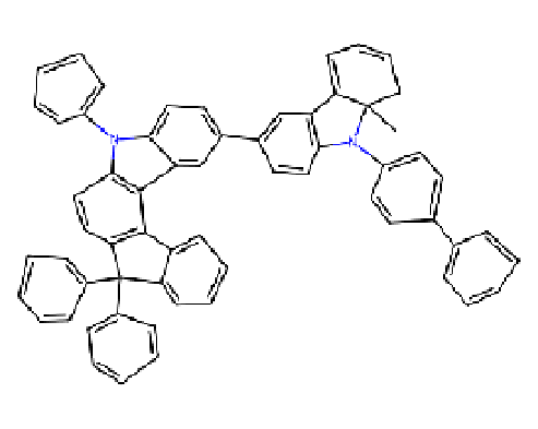 CC12CC=CC=C1c1cc(-c3ccc4c(c3)c3c5c(ccc3n4-c3ccccc3)C(c3ccccc3)(c3ccccc3)c3ccccc3-5)ccc1N2c1ccc(-c2ccccc2)cc1